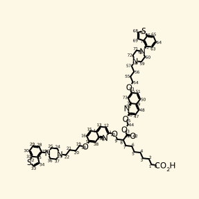 O=C(O)CCCCCCCC(COc1ccc2ccc(OCCCCN3CCN(c4cccc5sccc45)CC3)cc2n1)C(=O)OCOc1ccc2ccc(OCCCCN3CCN(c4cccc5sccc45)CC3)cc2n1